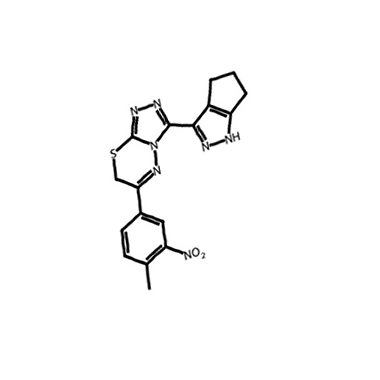 Cc1ccc(C2=Nn3c(nnc3-c3n[nH]c4c3CCC4)SC2)cc1[N+](=O)[O-]